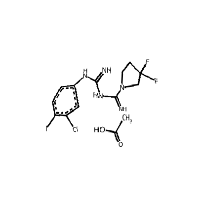 CC(=O)O.N=C(NC(=N)N1CCC(F)(F)C1)Nc1ccc(I)c(Cl)c1